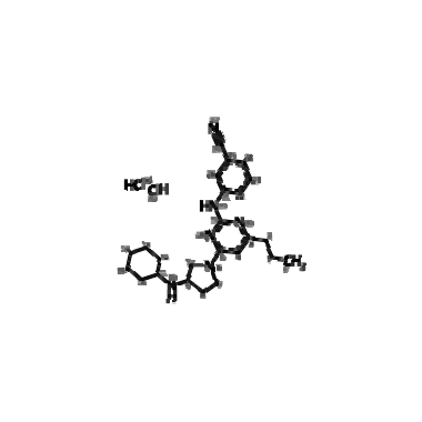 CCCc1cc(N2CCC(NC3CCCCC3)C2)nc(Nc2cccc(C#N)c2)n1.Cl.Cl